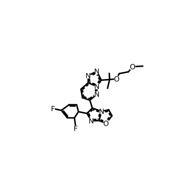 COCCOC(C)(C)c1nnc2ccc(-c3c(C4C=CC(F)=CC4F)nc4occn34)nn12